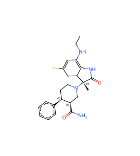 CCNC1=C2NC(=O)[C@](C)(N3CC[C@H](c4ccccc4)[C@H](C(N)=O)C3)C2CC(F)=C1